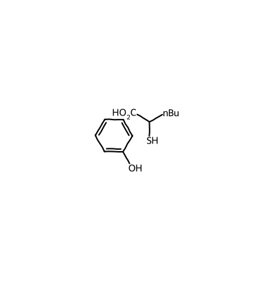 CCCCC(S)C(=O)O.Oc1ccccc1